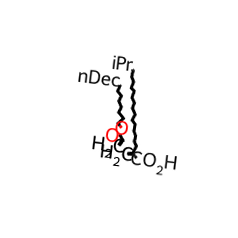 C=C(CCCCCCCCCCCCCCCC(C)C)C(=O)O.C=CC(=O)OCCCCCCCCCCCCCCCCCC